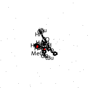 COc1c(C[C@H](NC(=O)C(NC(=O)N2CCN(CCCNC(=O)OC(C)(C)C)C(=O)C2=O)c2ncc(OCc3ccccc3)cc2F)B2O[C@@H]3C[C@@H]4C[C@@H](C4(C)C)[C@]3(C)O2)cccc1C(=O)OC(C)(C)C